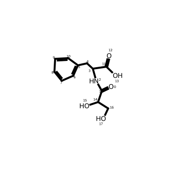 O=C(NC(Cc1ccccc1)C(=O)O)C(O)CO